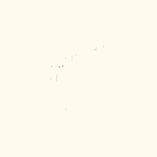 [Al+3].[Cl-].[Cl-].[Cl-].[Cl-].[Cl-].[Cl-].[Cl-].[Sn+4]